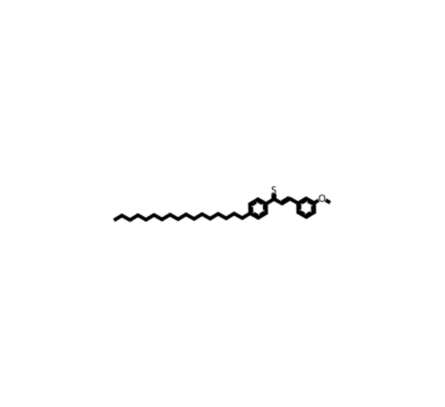 CCCCCCCCCCCCCCCCCc1ccc(C(=S)C=Cc2cccc(OC)c2)cc1